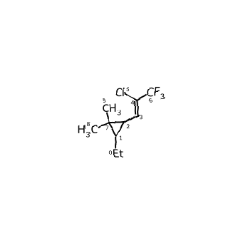 CCC1C(/C=C(\Cl)C(F)(F)F)C1(C)C